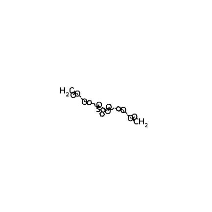 C=CC(=O)OCCCCOc1ccc(/C=C/C(=O)Oc2ccc(SC(=O)/C=C/c3ccc(OCCCCOC(=O)C=C)cc3)c3ccccc23)cc1